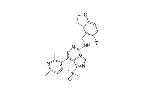 Cc1ccc(-c2cnc(NCc3c(F)ccc4c3CCO4)n3cnc(P(C)(C)=O)c23)c(C)n1